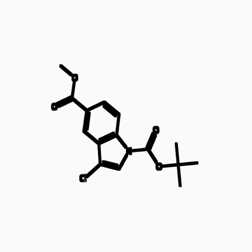 COC(=O)c1ccc2c(c1)c(Cl)cn2C(=O)OC(C)(C)C